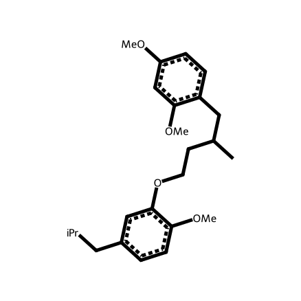 COc1ccc(CC(C)CCOc2cc(CC(C)C)ccc2OC)c(OC)c1